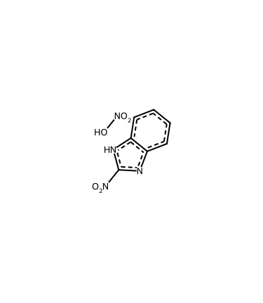 O=[N+]([O-])O.O=[N+]([O-])c1nc2ccccc2[nH]1